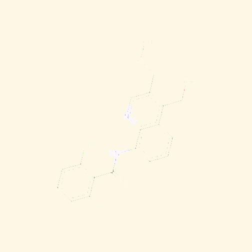 COCc1cnc2c(NC(=O)c3c(Cl)cccc3Cl)cccc2c1CO